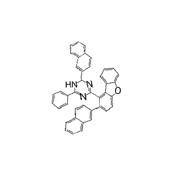 c1ccc(C2=NC(c3c(-c4ccc5ccccc5c4)ccc4oc5ccccc5c34)=NC(c3ccc4ccccc4c3)N2)cc1